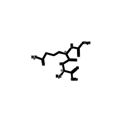 CCCCCCCC(=O)N[C@H](CCCC(N)=O)C(=O)N[C@@H](C)C(=O)OC